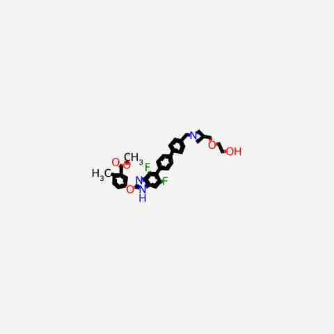 COC(=O)c1cc(Oc2nc3c(F)c(-c4ccc(-c5ccc(CN6CC(COCCO)C6)cc5)cc4)c(F)cc3[nH]2)ccc1C